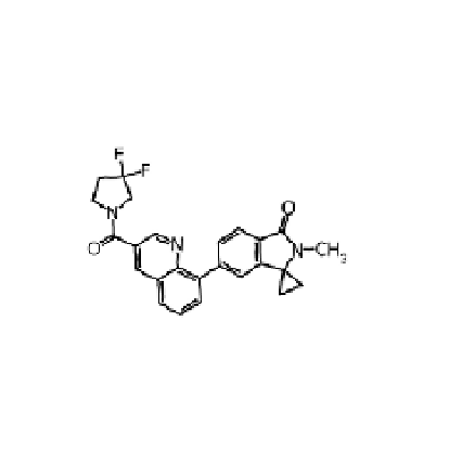 CN1C(=O)c2ccc(-c3cccc4cc(C(=O)N5CCC(F)(F)C5)cnc34)cc2C12CC2